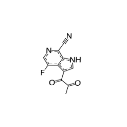 CC(=O)C(=O)c1c[nH]c2c(C#N)ncc(F)c12